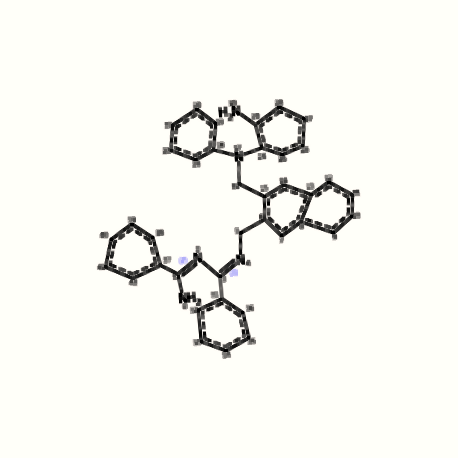 N/C(=N\C(=N/Cc1cc2ccccc2cc1CN(c1ccccc1)c1ccccc1N)c1ccccc1)c1ccccc1